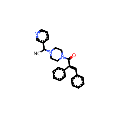 N#CC(c1cccnc1)N1CCN(C(=O)C(=Cc2ccccc2)c2ccccc2)CC1